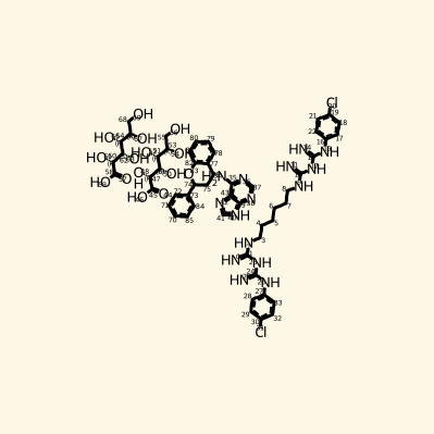 N=C(NCCCCCCNC(=N)NC(=N)Nc1ccc(Cl)cc1)NC(=N)Nc1ccc(Cl)cc1.Nc1ncnc2[nH]cnc12.O=C(O)[C@H](O)[C@@H](O)[C@H](O)[C@H](O)CO.O=C(O)[C@H](O)[C@@H](O)[C@H](O)[C@H](O)CO.c1ccc(C2CCc3ccccc3O2)cc1